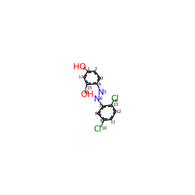 Oc1ccc(/N=N/c2cc(Cl)ccc2Cl)c(O)c1